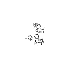 CCC(NC(=O)c1cc(-c2ccc(C)cn2)cc(-n2nnnc2C(F)(F)F)c1)c1cc[nH]c(=O)c1